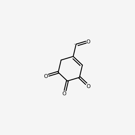 O=[C]C1=CC(=O)C(=O)C(=O)C1